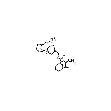 CC1CC2(C(=O)OCC3COC4(OC3)C(C)CC3CCCC4C3)CCCC(C2)C1=O